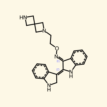 c1ccc2c(c1)NC/C2=C1\Nc2ccccc2\C1=N/OCCN1CC2(CNC2)C1